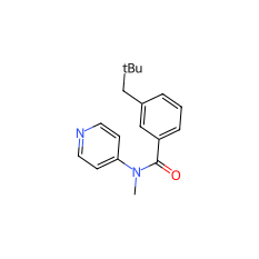 CN(C(=O)c1cccc(CC(C)(C)C)c1)c1ccncc1